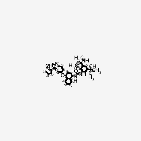 CNC(=O)c1cc(C(C)(C)C)cc(NC(=O)N[C@H]2CC[C@@H](Oc3ccc4nnc([C@@H]5CCCN5C)n4c3)c3ccccc32)c1OC